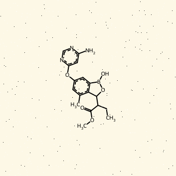 CCC(C(=O)OC)C1OB(O)c2cc(Oc3cc(N)ncn3)cc(C)c21